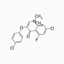 CN(C)/C=C(/Oc1ccc(Cl)cc1)C(=O)c1ccc(Cl)cc1F